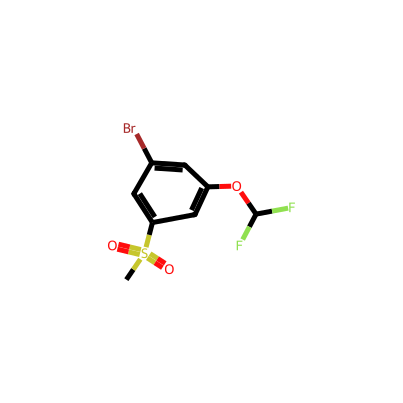 CS(=O)(=O)c1cc(Br)cc(OC(F)F)c1